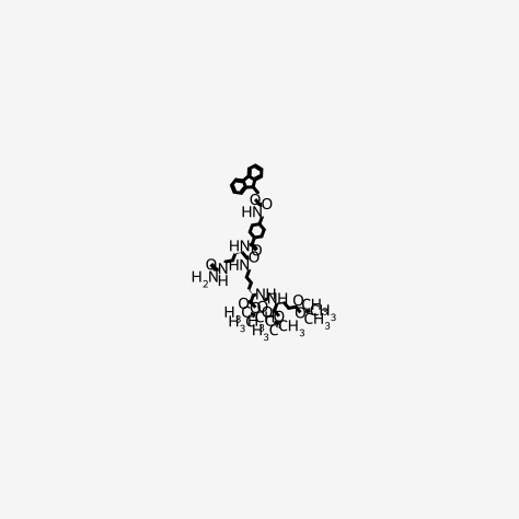 CC(C)(C)OC(=O)CC[C@H](NC(=O)N[C@@H](CCCCNC(=O)[C@H](CCCNC(N)=O)NC(=O)C1CCC(CNC(=O)OCC2c3ccccc3-c3ccccc32)CC1)C(=O)OC(C)(C)C)C(=O)OC(C)(C)C